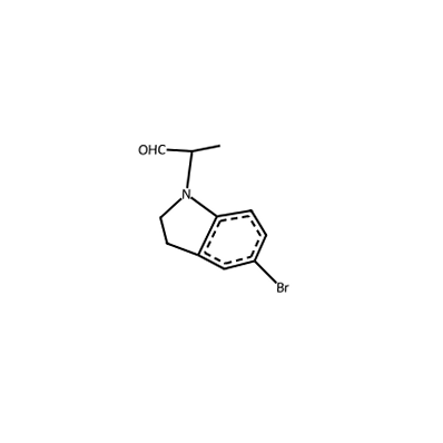 CC(C=O)N1CCc2cc(Br)ccc21